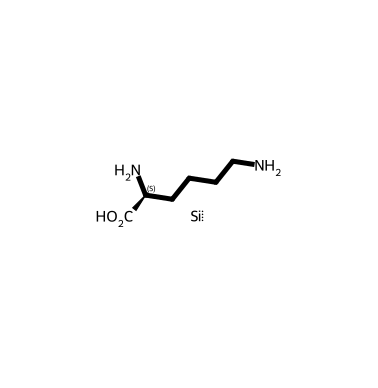 NCCCC[C@H](N)C(=O)O.[Si]